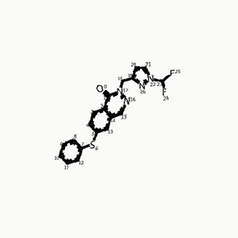 O=c1c2ccc(Sc3ccccc3)cc2cnn1Cc1ccn(C(F)F)n1